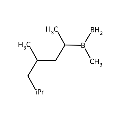 BB(C)C(C)CC(C)CC(C)C